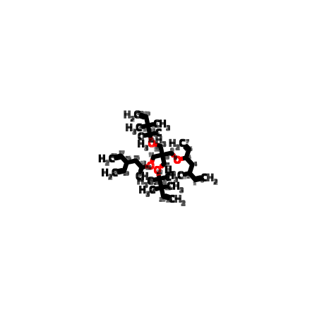 C=CC(C)CC(C=C)OCC(COC(C)CC(C=C)C=C)(COC(C)(C)C(C)(C)C=C)COC(C)(C)C(C)(C)C=C